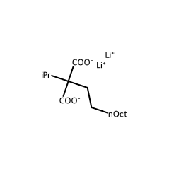 CCCCCCCCCCC(C(=O)[O-])(C(=O)[O-])C(C)C.[Li+].[Li+]